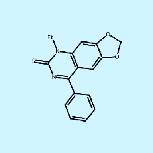 CCn1c(=S)nc(-c2ccccc2)c2cc3c(cc21)OCO3